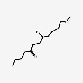 CCCCC(=O)CCC(O)CCCCOC